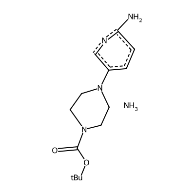 CC(C)(C)OC(=O)N1CCN(c2ccc(N)nc2)CC1.N